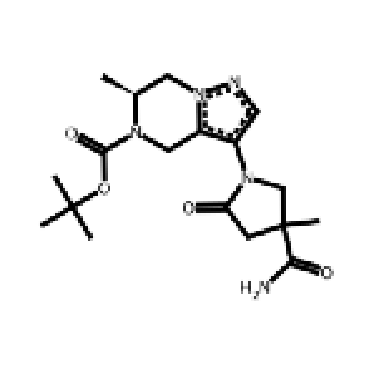 C[C@H]1Cn2ncc(N3CC(C)(C(N)=O)CC3=O)c2CN1C(=O)OC(C)(C)C